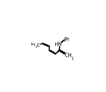 C=C(/C=C\C=C/C)NC(C)C